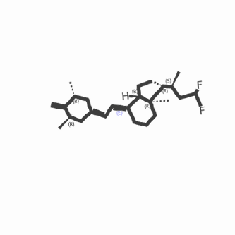 C=C1[C@H](C)CC(=C/C=C2\CCC[C@]3(C)[C@@H]([C@@H](C)CC(F)F)CC[C@@H]23)C[C@H]1C